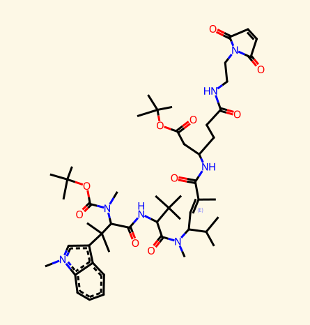 C/C(=C\C(C(C)C)N(C)C(=O)C(NC(=O)C(N(C)C(=O)OC(C)(C)C)C(C)(C)c1cn(C)c2ccccc12)C(C)(C)C)C(=O)NC(CCC(=O)NCCN1C(=O)C=CC1=O)CC(=O)OC(C)(C)C